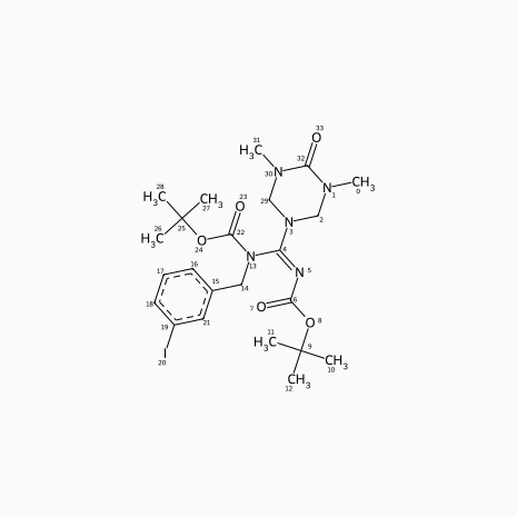 CN1CN(/C(=N/C(=O)OC(C)(C)C)N(Cc2cccc(I)c2)C(=O)OC(C)(C)C)CN(C)C1=O